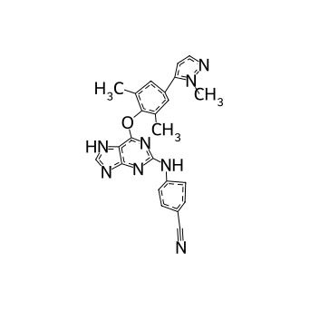 Cc1cc(-c2ccnn2C)cc(C)c1Oc1nc(Nc2ccc(C#N)cc2)nc2nc[nH]c12